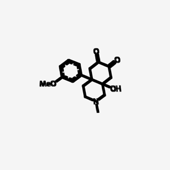 COc1cccc(C23CCN(C)CC2(O)CC(=O)C(=O)C3)c1